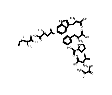 CC(C)C[C@H](N)C(=O)O.CC(C)[C@H](N)C(=O)O.CC[C@H](C)[C@H](N)C(=O)O.C[C@H](N)C(=O)O.N[C@@H](Cc1c[nH]c2ccccc12)C(=O)O.N[C@@H](Cc1ccccc1)C(=O)O.O=C(O)[C@@H]1CCCN1